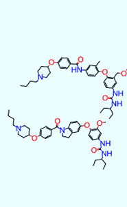 CCCCN1CCC(Oc2ccc(C(=O)N3CCc4cc(Oc5ccc(NC(=O)NC(CC)CC)cc5OC)ccc43)cc2)CC1.CCCCN1CCC(Oc2ccc(C(=O)Nc3ccc(Oc4ccc(NC(=O)NC(CC)CC)cc4COC)c(C)c3)cc2)CC1